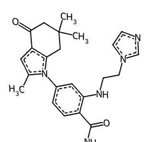 Cc1cc2c(n1-c1ccc(C(N)=O)c(NCCn3ccnc3)c1)CC(C)(C)CC2=O